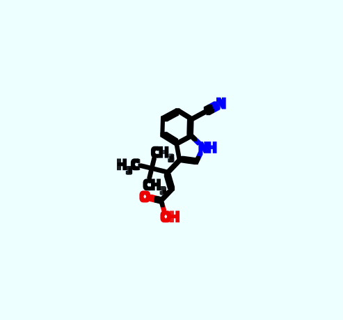 CC(C)(C)/C(=C\C(=O)O)c1c[nH]c2c(C#N)cccc12